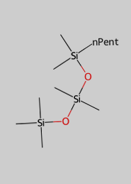 [CH2]CCCC[Si](C)(C)O[Si](C)(C)O[Si](C)(C)C